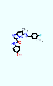 Cc1cc(CNc2nn3c(C(=O)Nc4ccc(O)cc4)cnc3cc2C)ccc1F